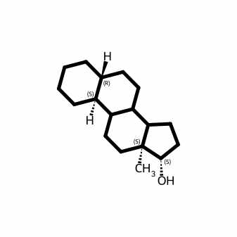 C[C@]12CCC3C(CC[C@H]4CCCC[C@H]34)C1CC[C@@H]2O